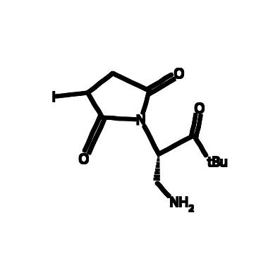 CC(C)(C)C(=O)[C@H](CN)N1C(=O)CC(I)C1=O